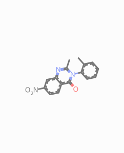 Cc1ccccc1-n1c(C)nc2cc([N+](=O)[O-])ccc2c1=O